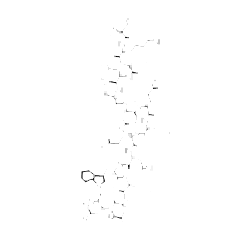 CC(C)C[C@H](NC(=O)[C@H](C)NC(=O)[C@H](CCCCN)NC(=O)[C@@H](N)CS)C(=O)N[C@H](C(=O)N[C@@H](CC(N)=O)C(=O)N[C@@H](CCC(=O)O)C(=O)N[C@@H](C)C(=O)N[C@@H](CCC(=O)O)C(=O)N[C@@H](CC(N)=O)C(=O)N[C@@H](Cc1c[nH]c2ccccc12)C(=O)N[C@@H](C)C(=O)N[C@@H](CC(=O)O)C(=O)N[C@@H](CC(N)=O)C(N)=O)[C@@H](C)O